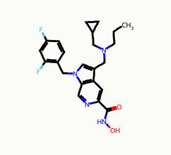 CCCN(Cc1cn(Cc2ccc(F)cc2F)c2cnc(C(=O)NO)cc12)CC1CC1